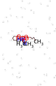 CCCCC/C=C\C/C=C\C/C=C\CCCCC(=O)OCCCCC(CCCCOC(=O)CCCC/C=C\C/C=C\C/C=C\CCCCC)OC(=O)NCCOCCN(C)C